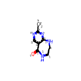 O=C1NCCNc2nc(C(F)(F)F)ncc21